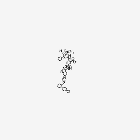 CN(C)C(=O)CC(CSc1ccccc1)Nc1ccc(S(=O)(=O)Nc2ncnc3cc(N4CCN(Cc5ccccc5-c5ccc(Cl)cc5)CC4)ccc23)cc1[N+](=O)[O-]